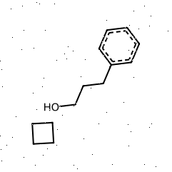 C1CCC1.OCCCc1ccccc1